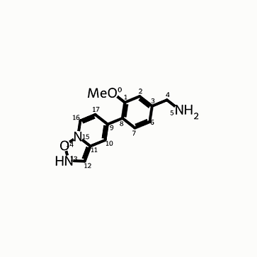 COc1cc(CN)ccc1C1=CC2=CNON2C=C1